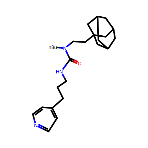 CCCCN(CCC12CC3CC(CC(C3)C1)C2)C(=O)NCCCc1ccncc1